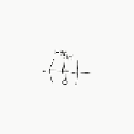 Br.CC(C)(C)P(=O)(O)C(C)(C)C